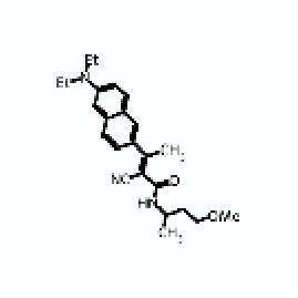 CCN(CC)c1ccc2cc(/C(C)=C(\C#N)C(=O)NC(C)CCOC)ccc2c1